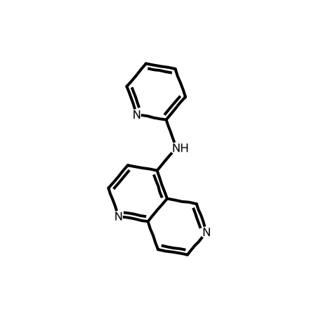 c1ccc(Nc2ccnc3ccncc23)nc1